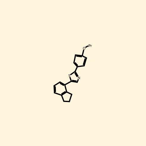 CC(C)Oc1ccc(-c2ncc(-c3cccc4c3CCC4)s2)cc1